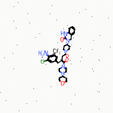 Nc1c(Cl)cc(C[C@@H](CC(=O)N2CCC(N3Cc4ccccc4NC3=O)CC2)C(=O)N2CCN(C3CCOCC3)CC2)cc1C(F)(F)F